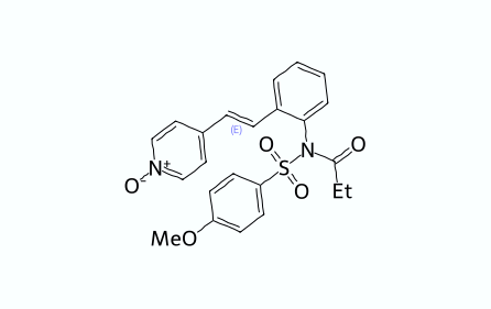 CCC(=O)N(c1ccccc1/C=C/c1cc[n+]([O-])cc1)S(=O)(=O)c1ccc(OC)cc1